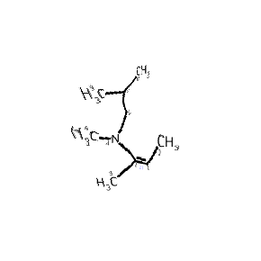 C/C=C(/C)N(C)CC(C)C